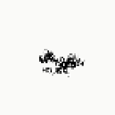 CCO[Si](CCCOC1=C(C)C(=O)C2=C(C1=O)C(CO)C1(OC)C3NC3CN21)(OCC)OCC.NC(=O)O